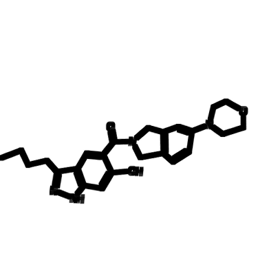 CCCCc1n[nH]c2cc(O)c(C(=O)N3Cc4ccc(N5CCOCC5)cc4C3)cc12